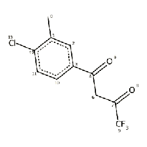 Cc1cc(C(=O)CC(=O)C(F)(F)F)ccc1Cl